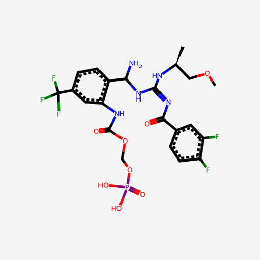 COC[C@H](C)N/C(=N/C(=O)c1ccc(F)c(F)c1)NC(N)c1ccc(C(F)(F)F)cc1NC(=O)OCOP(=O)(O)O